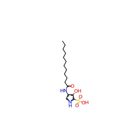 CCCCCCCCCCCC(=O)Nc1c[nH]c(S(=O)(=O)O)c1O